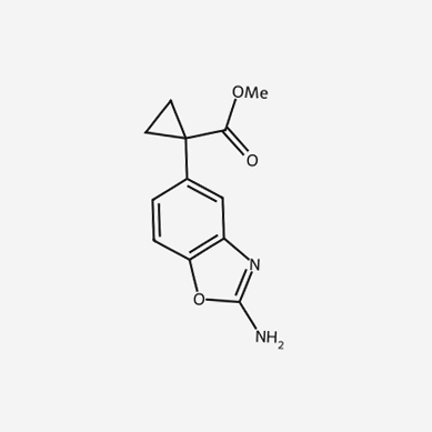 COC(=O)C1(c2ccc3oc(N)nc3c2)CC1